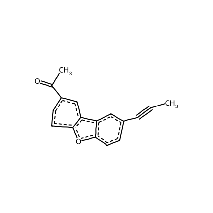 CC#Cc1ccc2oc3ccc(C(C)=O)cc3c2c1